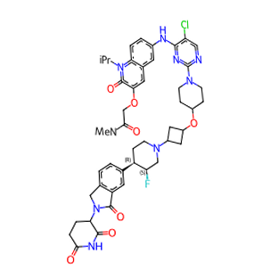 CNC(=O)COc1cc2cc(Nc3nc(N4CCC(OC5CC(N6CC[C@H](c7ccc8c(c7)C(=O)N(C7CCC(=O)NC7=O)C8)[C@H](F)C6)C5)CC4)ncc3Cl)ccc2n(C(C)C)c1=O